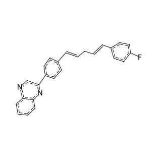 Fc1ccc(C=CCC=Cc2ccc(-c3cnc4ccccc4n3)cc2)cc1